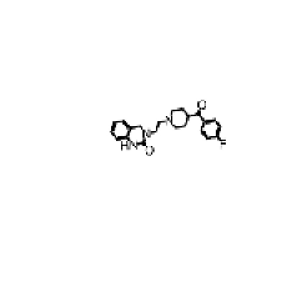 O=C(c1ccc(F)cc1)C1CCN(CCN2Cc3ccccc3NC2=O)CC1